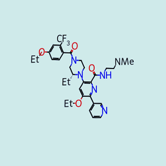 CCOc1ccc(C(=O)N2CCN(c3cc(OCC)c(-c4cccnc4)nc3C(=O)NCCNC)[C@H](CC)C2)c(C(F)(F)F)c1